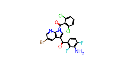 Nc1c(F)ccc(C(=O)c2cn(C(=O)c3c(Cl)cccc3Cl)c3ncc(Br)cc23)c1F